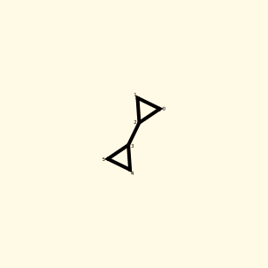 [CH]1CC1C1CC1